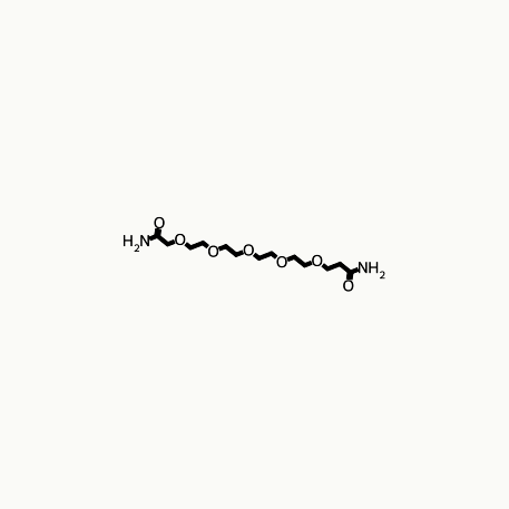 NC(=O)CCOCCOCCOCCOCCOCC(N)=O